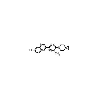 C[C@H](NC(=O)c1cnc2cc(Cl)ccc2c1)C(=O)N1CCC2(CC1)CC2